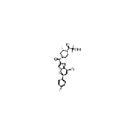 CC(C)c1cc(-c2ccc(F)cc2)nn2cc(C(=O)N3CCN(C(=O)C(C)(C)O)[C@@H](C)C3)nc12